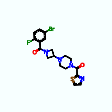 O=C(c1nccs1)N1CCN(C2CN(C(=O)c3cc(Br)ccc3F)C2)CC1